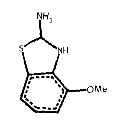 COc1cccc2c1NC(N)S2